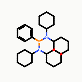 c1ccc(P(N(C2CCCCC2)C2CCCCC2)N(C2CCCCC2)C2CCCCC2)cc1